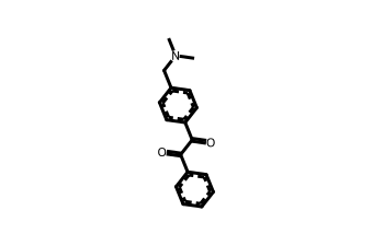 CN(C)Cc1ccc(C(=O)C(=O)c2ccccc2)cc1